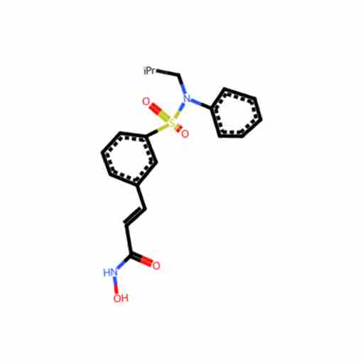 CC(C)CN(c1ccccc1)S(=O)(=O)c1cccc(/C=C/C(=O)NO)c1